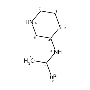 CCCC(C)N[C]1CNCCS1